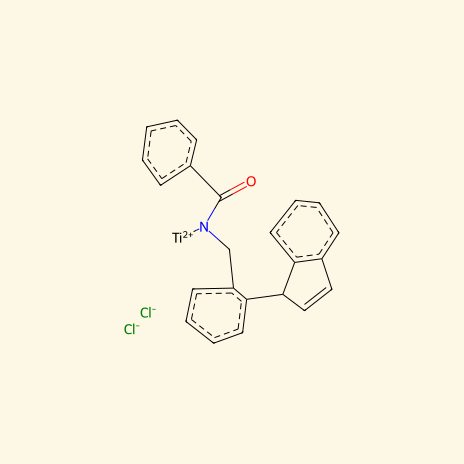 O=C(c1ccccc1)[N]([Ti+2])Cc1ccccc1C1C=Cc2ccccc21.[Cl-].[Cl-]